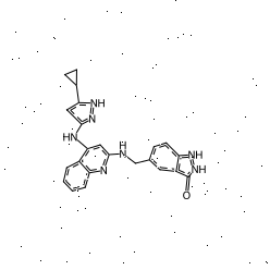 O=c1[nH][nH]c2ccc(CNc3cc(Nc4cc(C5CC5)[nH]n4)c4ccccc4n3)cc12